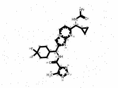 CCCC(=O)N[C@@H](c1ccn2cc([C@@H](NC(=O)c3nonc3C)C3CCC(F)(F)CC3)nc2n1)C1CC1